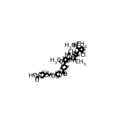 COc1cc2nc(C)nc(N[C@H](C)c3cc(-c4c(Cl)cccc4CN(C)C)cs3)c2cc1C1CCC(C(=O)N2CCC(OCCCC3CCN(C(=O)O)CC3)CC2)CC1